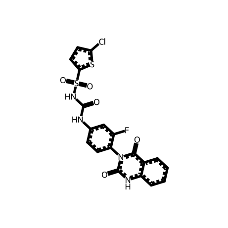 O=C(Nc1ccc(-n2c(=O)[nH]c3ccccc3c2=O)c(F)c1)NS(=O)(=O)c1ccc(Cl)s1